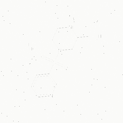 Cl.Cl.O=C(O)C1CN(S(=O)(=O)c2cccnc2)CCN1